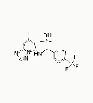 Cc1cc(NC(c2ccc(C(F)(F)F)cc2)C(C)(C)O)n2ncnc2c1